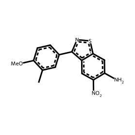 COc1ccc(-c2nsc3cc(N)c([N+](=O)[O-])cc23)cc1C